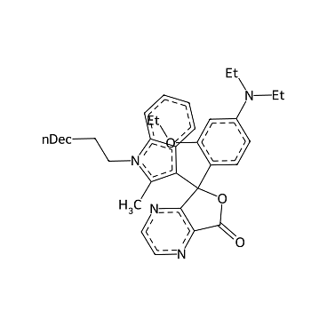 CCCCCCCCCCCCn1c(C)c(C2(c3ccc(N(CC)CC)cc3OCC)OC(=O)c3nccnc32)c2ccccc21